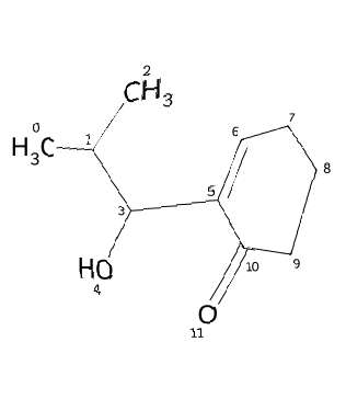 CC(C)C(O)C1=CCCCC1=O